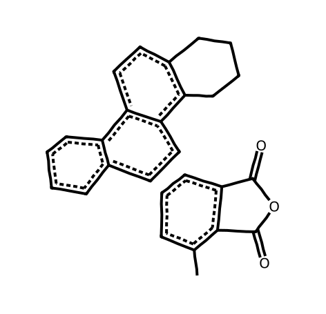 Cc1cccc2c1C(=O)OC2=O.c1ccc2c(c1)ccc1c3c(ccc12)CCCC3